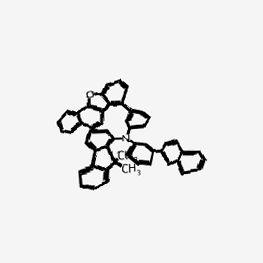 CC1(C)c2ccccc2-c2cccc(N(c3cccc(-c4ccc5ccccc5c4)c3)c3cccc(-c4cccc5oc6c7ccccc7ccc6c45)c3)c21